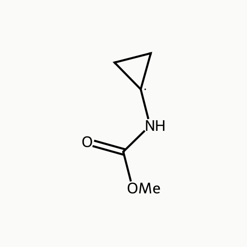 COC(=O)N[C]1CC1